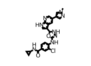 Cn1cc(-c2cnc3[nH]cc(C4NN=C(Nc5ccc(C(=O)NC6CC6)cc5Cl)O4)c3c2)cn1